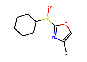 Cc1coc([S+]([O-])C2CCCCC2)n1